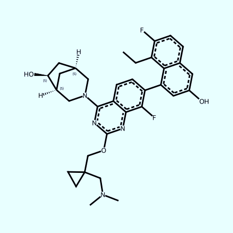 CCc1c(F)ccc2cc(O)cc(-c3ccc4c(N5C[C@H]6C[C@@H](C5)[C@@H](O)C6)nc(OCC5(CN(C)C)CC5)nc4c3F)c12